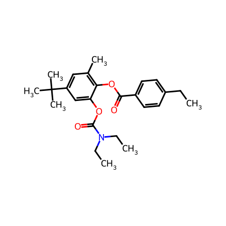 CCc1ccc(C(=O)Oc2c(C)cc(C(C)(C)C)cc2OC(=O)N(CC)CC)cc1